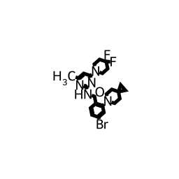 Cc1cc(N2CCC(F)(F)CC2)nc(NC(=O)c2ccc(Br)cc2N2CCC3(CC2)CC3)n1